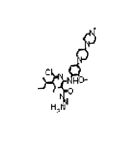 CC/C(C)=C(CC)/C(Cl)=N\C(Nc1ccc(N2CCC(N3CCN(C)CC3)CC2)cc1OC)=C(/C)C(=O)N=NN